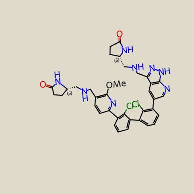 COc1nc(-c2cccc(-c3cccc(-c4cnc5[nH]nc(CNC[C@@H]6CCC(=O)N6)c5c4)c3Cl)c2Cl)ccc1CNC[C@@H]1CCC(=O)N1